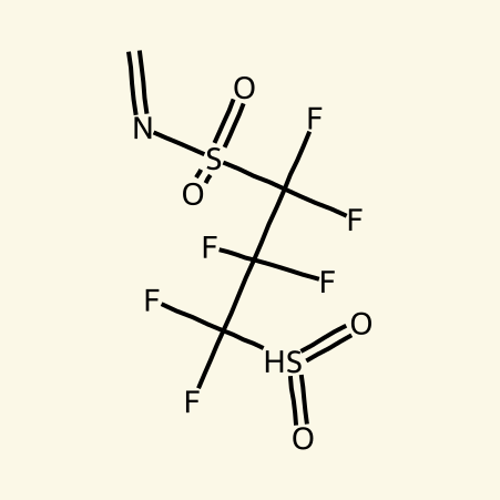 C=NS(=O)(=O)C(F)(F)C(F)(F)C(F)(F)[SH](=O)=O